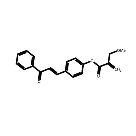 C=C(COC)C(=O)Oc1ccc(C=CC(=O)c2ccccc2)cc1